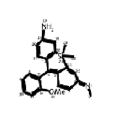 C/N=C1\C=CC2=C(c3ccccc3OC)c3ccc(N)cc3[Si](C)(C)C2=C1